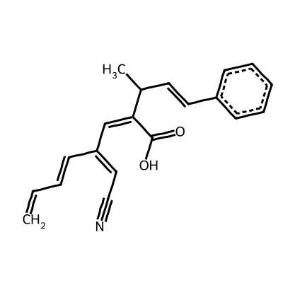 C=CC=CC(=CC#N)C=C(C(=O)O)C(C)C=Cc1ccccc1